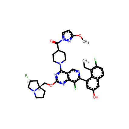 CCc1c(F)ccc2cc(O)cc(-c3ncc4c(N5CCC(C(=O)n6ccc(OC)n6)CC5)nc(OC[C@@]56CCCN5C[C@H](F)C6)nc4c3F)c12